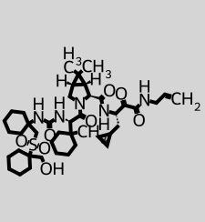 C=CCNC(=O)C(=O)[C@H](CC1CC1)NC(=O)[C@@H]1[C@@H]2[C@H](CN1C(=O)[C@@H](NC(=O)NC1(CS(=O)(=O)C3(CO)CCCCC3)CCCCC1)C1(C)CCCCC1)C2(C)C